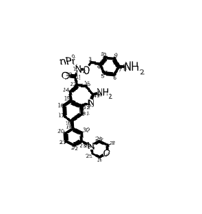 CCCN(OCc1ccc(N)cc1)C(=O)C1=Cc2ccc(-c3cccc(N4CCOCC4)c3)cc2N=C(N)C1